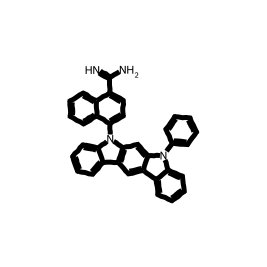 N=C(N)c1ccc(-n2c3ccccc3c3cc4c5ccccc5n(-c5ccccc5)c4cc32)c2ccccc12